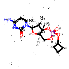 C[C@]1(C#N)C(n2ccc(N)nc2=O)O[C@@H]2COP(=O)(OC3CCC3)O[C@H]21